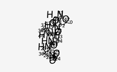 CCCC(NC(=O)[C@@H]1[C@@H]2[C@H](CN1C(=O)[C@@H](NC(=O)N[C@H](CN(C)S(C)(=O)=O)C(C)(C)C)C(C)(C)C)C2(C)C)C(=O)C(N)=O